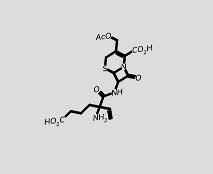 C=CC(N)(CCCC(=O)O)C(=O)NC1C(=O)N2C(C(=O)O)=C(COC(C)=O)CSC12